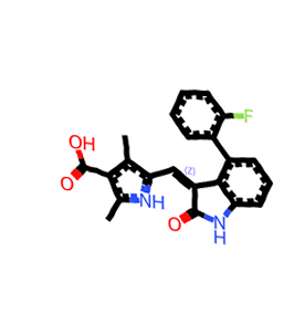 Cc1[nH]c(/C=C2\C(=O)Nc3cccc(-c4ccccc4F)c32)c(C)c1C(=O)O